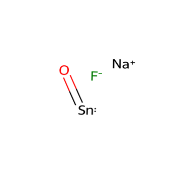 [F-].[Na+].[O]=[Sn]